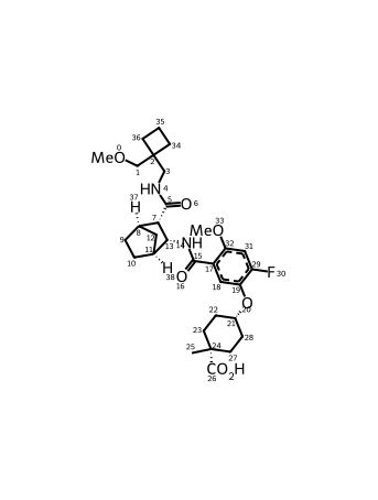 COCC1(CNC(=O)[C@H]2[C@@H]3CC[C@@H](C3)[C@H]2NC(=O)c2cc(O[C@H]3CC[C@@](C)(C(=O)O)CC3)c(F)cc2OC)CCC1